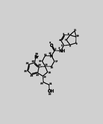 O=C(NC1C=CC23CC1CC2C3)N1CCC2(CC1)CC(CCO)c1cccc(Br)c12